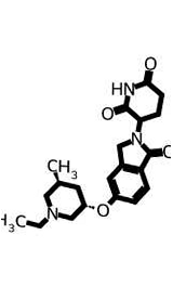 CCN1C[C@@H](C)C[C@H](Oc2ccc3c(c2)CN(C2CCC(=O)NC2=O)C3=O)C1